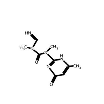 Cc1cc(=O)nc(N(C)C(=O)N(C)C=N)[nH]1